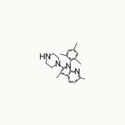 Cc1cc(C)c(-n2c(N3CCNCC3)c(C)c3ccc(C)nc32)c(C)c1